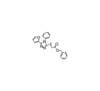 O=C(CSc1nnc(-c2ccco2)n1-c1ccccc1)OCc1ccccc1